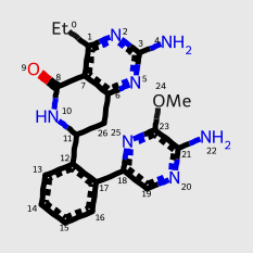 CCc1nc(N)nc2c1C(=O)NC(c1ccccc1-c1cnc(N)c(OC)n1)C2